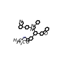 C=C/C=C\c1c(C)oc2ccc(-c3cc(-c4ccc5oc6ccccc6c5c4)cc(-c4cc(-c5ccccc5)nc(-c5ccc(-c6cccc7cnccc67)cc5)n4)c3)cc12